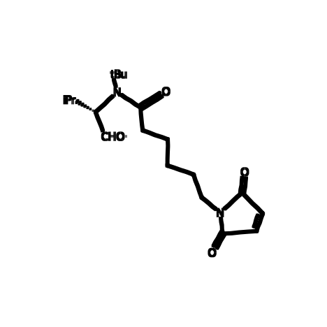 CC(C)[C@@H]([C]=O)N(C(=O)CCCCCN1C(=O)C=CC1=O)C(C)(C)C